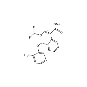 COC(=O)/C(=C/OC(F)F)c1ccccc1COc1ccccc1C